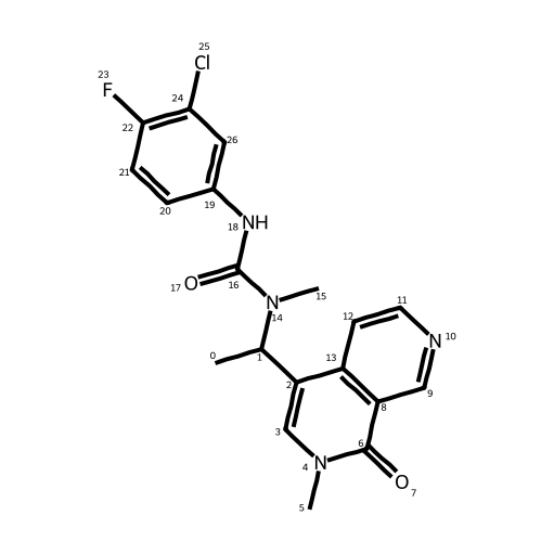 CC(c1cn(C)c(=O)c2cnccc12)N(C)C(=O)Nc1ccc(F)c(Cl)c1